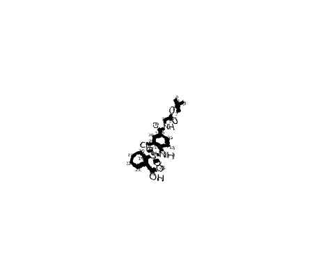 CC(C)(C)OC(=O)CNC(=O)c1ccc(NS(=O)(=O)C2CCCC=C2C(=O)O)c(Cl)c1